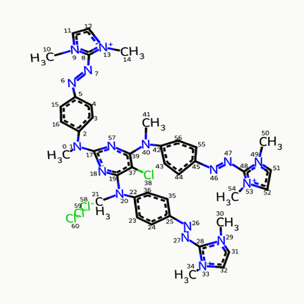 CN(c1ccc(/N=N/c2n(C)cc[n+]2C)cc1)c1nc(N(C)c2ccc(/N=N/c3n(C)cc[n+]3C)cc2)c(Cl)c(N(C)c2ccc(/N=N/c3n(C)cc[n+]3C)cc2)n1.[Cl-].[Cl-].[Cl-]